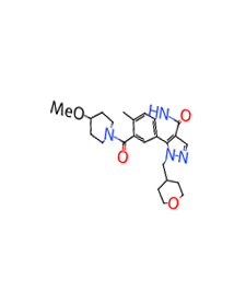 COC1CCN(C(=O)c2cc3c(cc2C)[nH]c(=O)c2cnn(CC4CCOCC4)c23)CC1